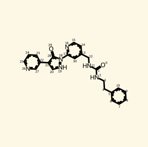 O=C(NCCc1ccccc1)NCc1ccnc(-n2[nH]cc(-c3cccnc3)c2=O)c1